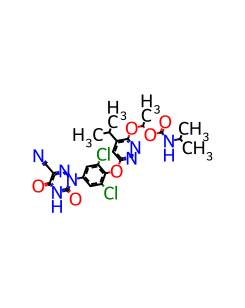 CC(C)NC(=O)OC(C)Oc1nnc(Oc2c(Cl)cc(-n3nc(C#N)c(=O)[nH]c3=O)cc2Cl)cc1C(C)C